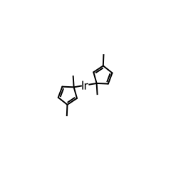 CC1=C[C](C)([Ir][C]2(C)C=CC(C)=C2)C=C1